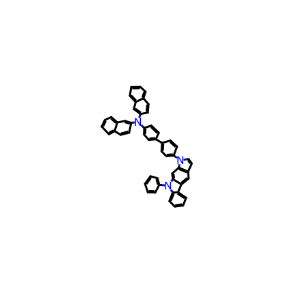 c1ccc(-n2c3ccccc3c3cc4ccn(-c5ccc(-c6ccc(N(c7ccc8ccccc8c7)c7ccc8ccccc8c7)cc6)cc5)c4cc32)cc1